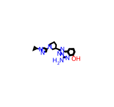 Nc1nc2c(O)cccc2c2nc(C3CCCN(c4cnn(C5CC5)c4)C3)nn12